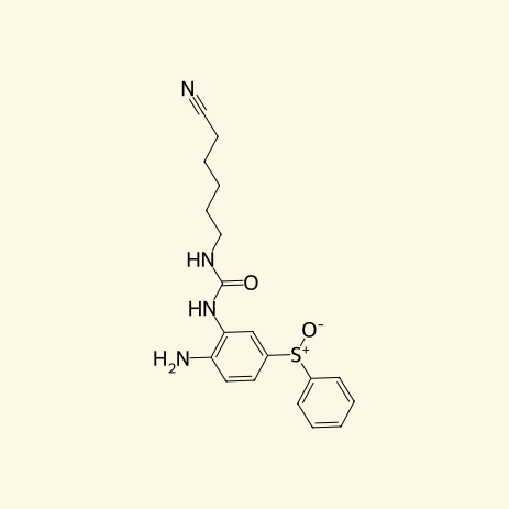 N#CCCCCCNC(=O)Nc1cc([S+]([O-])c2ccccc2)ccc1N